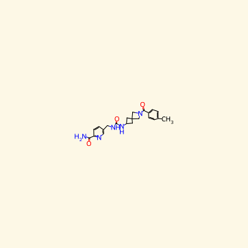 Cc1ccc(C(=O)N2CC3(CC(NC(=O)NCc4ccc(C(N)=O)nc4)C3)C2)cc1